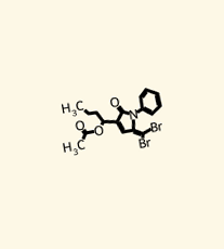 CCCC(OC(C)=O)C1=CC(=C(Br)Br)N(c2ccccc2)C1=O